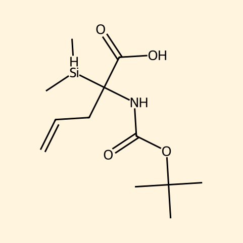 C=CCC(NC(=O)OC(C)(C)C)(C(=O)O)[SiH](C)C